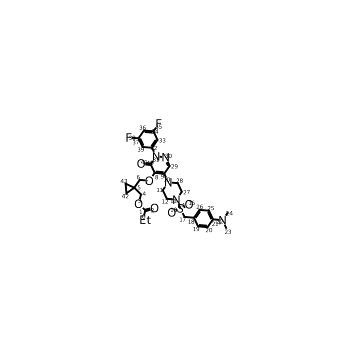 CCC(=O)OCC1(COc2c(N3CCN(S(=O)(=O)Cc4ccc(N(C)C)cc4)CC3)cnn(-c3cc(F)cc(F)c3)c2=O)CC1